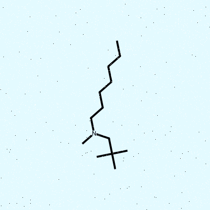 CCCCCCCN(C)CC(C)(C)C